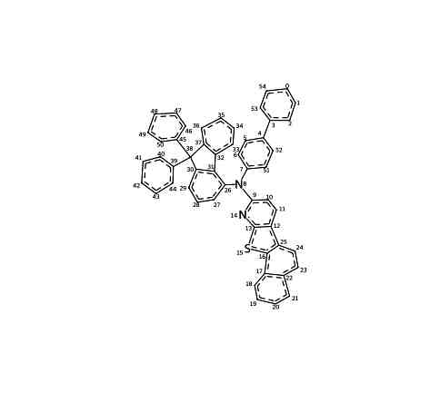 c1ccc(-c2ccc(N(c3ccc4c(n3)sc3c5ccccc5ccc43)c3cccc4c3-c3ccccc3C4(c3ccccc3)c3ccccc3)cc2)cc1